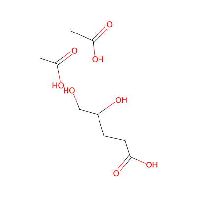 CC(=O)O.CC(=O)O.O=C(O)CCC(O)CO